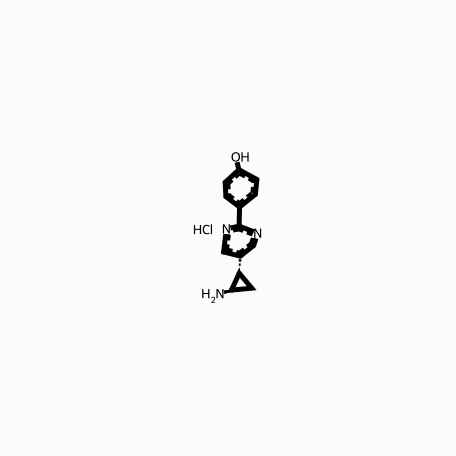 Cl.N[C@@H]1C[C@H]1c1cnc(-c2ccc(O)cc2)nc1